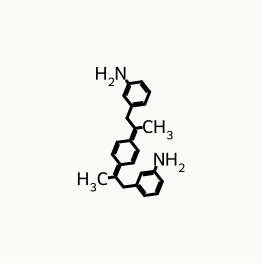 CC(Cc1cccc(N)c1)=c1ccc(=C(C)Cc2cccc(N)c2)cc1